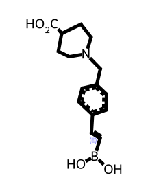 O=C(O)C1CCN(Cc2ccc(/C=C/B(O)O)cc2)CC1